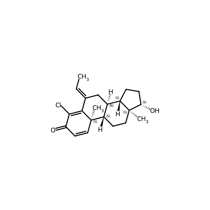 CC=C1C[C@H]2[C@@H]3CC[C@H](O)[C@@]3(C)CC[C@@H]2[C@@]2(C)C=CC(=O)C(Cl)=C12